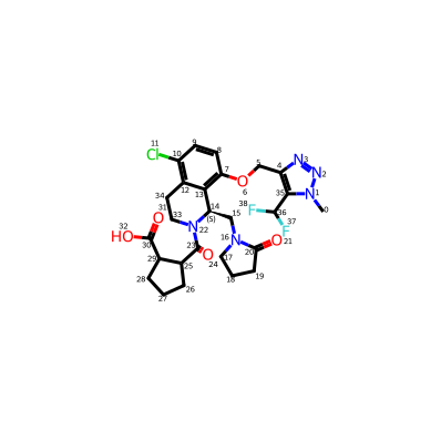 Cn1nnc(COc2ccc(Cl)c3c2[C@@H](CN2CCCC2=O)N(C(=O)C2CCCC2C(=O)O)CC3)c1C(F)F